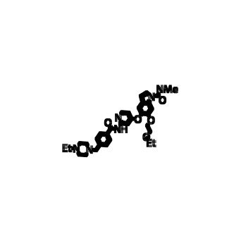 CCOCCOc1cc2c(ccn2C(=O)NC)cc1Oc1ccnc(NC(=O)c2ccc(CN3CCN(CC)CC3)cc2)c1